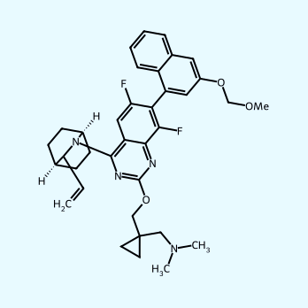 C=CC1[C@H]2CC[C@H](CC2)N1c1nc(OCC2(CN(C)C)CC2)nc2c(F)c(-c3cc(OCOC)cc4ccccc34)c(F)cc12